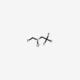 [O-][S+](CF)CC(F)(F)F